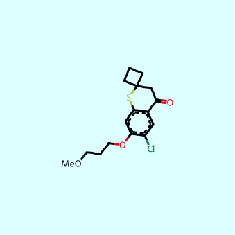 COCCCOc1cc2c(cc1Cl)C(=O)CC1(CCC1)S2